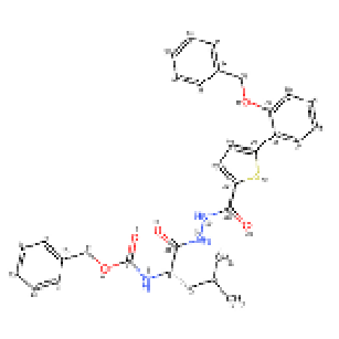 CC(C)C[C@H](NC(=O)OCc1ccccc1)C(=O)NNC(=O)c1ccc(-c2ccccc2OCc2ccccc2)s1